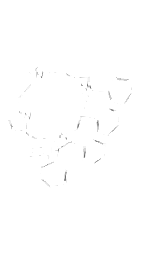 O=S(=O)(O)C1=C2C=CC(=N2)C=C2C=CC(=N2)C=C2C=C(c3ccccc3)C(=N2)C(c2ccccc2)=C2N=C1C(c1ccccc1)=C2c1ccccc1